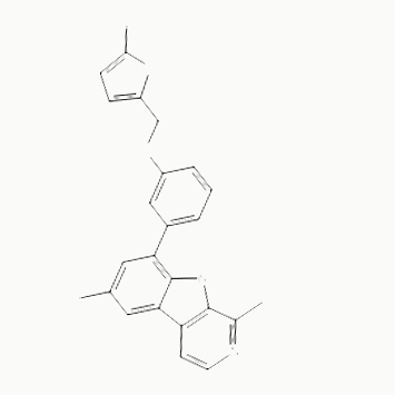 Cc1nccc2c1[nH]c1c(-c3cccc(OCc4ccc(C(F)(F)F)o4)c3)cc(Cl)cc12